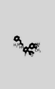 Cc1n[nH]c2ccc(-c3cc(NC[C@@H](N)Cc4ccccc4)cc(F)c3-c3ccoc3)cc12